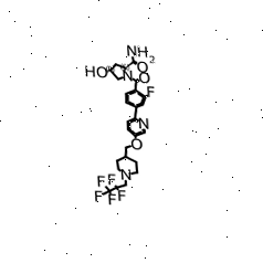 NC(=O)[C@@H]1C[C@@H](O)CN1C(=O)c1ccc(-c2ccc(OCC3CCN(CC(F)(F)C(F)(F)F)CC3)cn2)cc1F